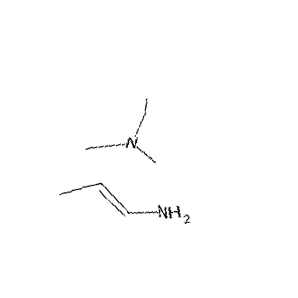 CC=CN.CN(C)C